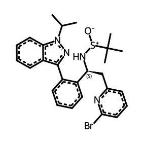 CC(C)n1nc(-c2ccccc2[C@H](Cc2cccc(Br)n2)N[S+]([O-])C(C)(C)C)c2ccccc21